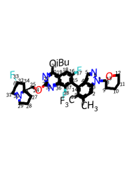 Cc1cc2c(cnn2C2CCCCO2)c(-c2c(F)cc3c(OCC(C)C)nc(OC[C@@]45CCCN4C[C@H](F)C5)nc3c2F)c1C(F)(F)F